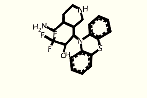 CC(C(C1CNCCC1CN)N1c2ccccc2Sc2ccccc21)C(F)(F)F